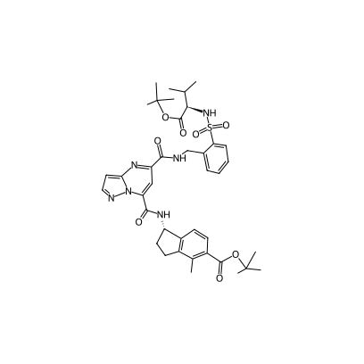 Cc1c(C(=O)OC(C)(C)C)ccc2c1CC[C@@H]2NC(=O)c1cc(C(=O)NCc2ccccc2S(=O)(=O)N[C@@H](C(=O)OC(C)(C)C)C(C)C)nc2ccnn12